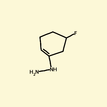 NNC1=CCCC(F)C1